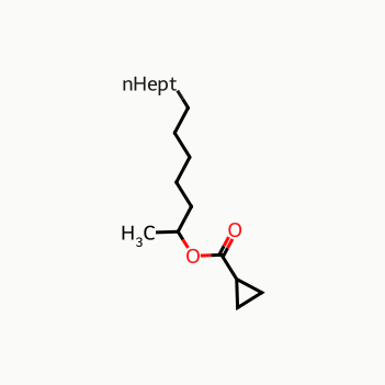 CCCCCCCCCCCCC(C)OC(=O)C1CC1